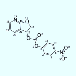 O=C(Oc1ccc([N+](=O)[O-])cc1)OC1COc2ncccc21